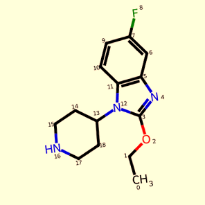 CCOc1nc2cc(F)ccc2n1C1CCNCC1